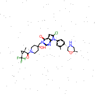 Cc1cc(-n2c(Cl)cc3c(=O)n(CC4(O)CCN(C(=O)[C@@]5(C)C[C@@H]5C(F)(F)F)CC4)cnc32)ccc1[C@H]1CO[C@H](C)CN1